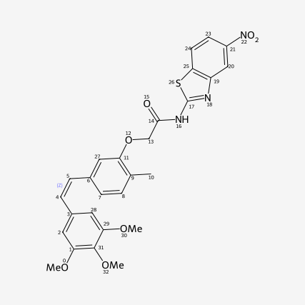 COc1cc(/C=C\c2ccc(C)c(OCC(=O)Nc3nc4cc([N+](=O)[O-])ccc4s3)c2)cc(OC)c1OC